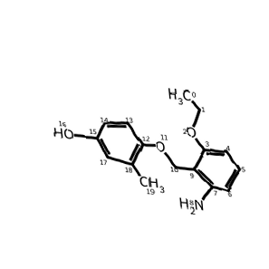 CCOc1cccc(N)c1COc1ccc(O)cc1C